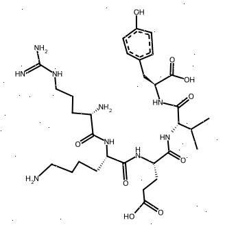 CC(C)[C@H](NC(=O)[C@H](CCC(=O)O)NC(=O)[C@H](CCCCN)NC(=O)[C@@H](N)CCCNC(=N)N)C(=O)N[C@@H](Cc1ccc(O)cc1)C(=O)O